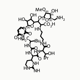 CCC(C)C(NC(=O)NC(C(=O)NC(C(=O)NCCCNC(C(=O)O)C(O[C@@H]1O[C@H](CN)[C@@H](O)[C@H]1OC)C1O[C@@H](n2ccc(=O)[nH]c2=O)C(O)C1O)C(O)C(C)C)C1CCNC(=N)N1)C(=O)O